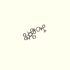 Cc1c(C(=O)O)cc(Cl)c2c1O[C@](C)(C1CCN(C(=O)C3CC3)CC1)O2